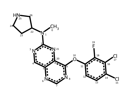 CN(c1ncc2ncnc(Oc3ccc(Cl)c(Cl)c3F)c2n1)C1CCNC1